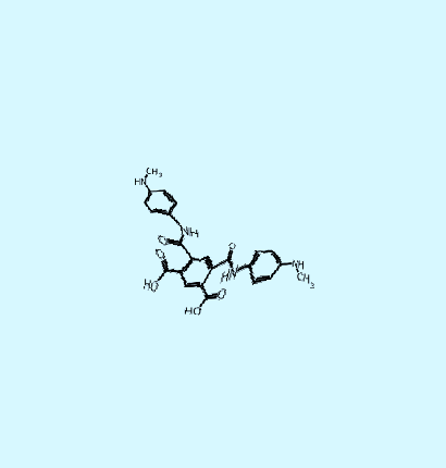 CNc1ccc(NC(=O)c2cc(C(=O)Nc3ccc(NC)cc3)c(C(=O)O)cc2C(=O)O)cc1